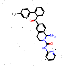 NC1c2ccc(C(=O)c3ccccc3-c3ccc(C(F)(F)F)cc3)cc2CCN1C(=O)Nc1ccccn1